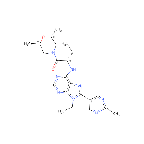 CC[C@H](Nc1ncnc2c1nc(-c1cnc(C)nc1)n2CC)C(=O)N1C[C@@H](C)O[C@H](C)C1